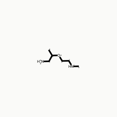 CNCCOC(C)CN